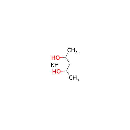 CC(O)CC(C)O.[KH]